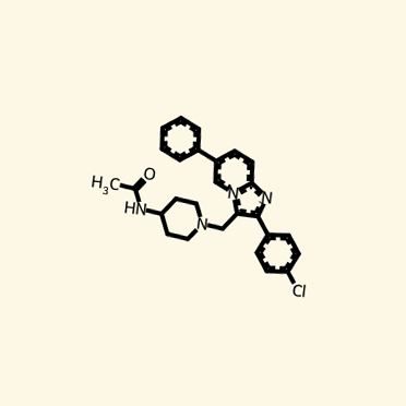 CC(=O)NC1CCN(Cc2c(-c3ccc(Cl)cc3)nc3ccc(-c4ccccc4)cn23)CC1